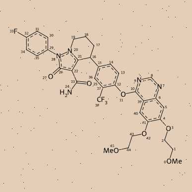 COCCOc1cc2ncnc(Oc3ccc(C4CCCn5c4c(C(N)=O)c(=O)n5-c4ccc(F)cc4)cc3C(F)(F)F)c2cc1OCCOC